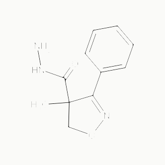 CC1(C(=O)NN)CON=C1c1ccccc1